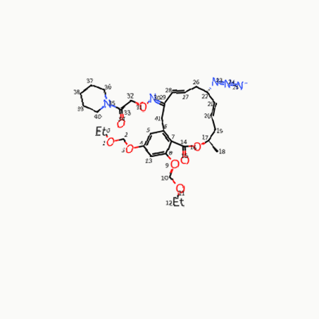 CCOCOc1cc2c(c(OCOCC)c1)C(=O)O[C@H](C)C/C=C/[C@@H](N=[N+]=[N-])C/C=C/C(=N/OCC(=O)N1CCCCC1)C2